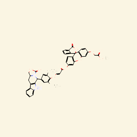 COc1cc(C2c3[nH]c4ccccc4c3CC3COC(=O)N32)cc(OC)c1O/C=C/C(=O)Oc1ccc2c(c1)Oc1cc(OCC(=O)OC(C)(C)C)ccc1C21OC(=O)c2ccccc21